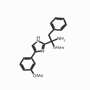 CCCCCCC(N)(Cc1ccccc1)c1nc(-c2cccc(OC)c2)c[nH]1